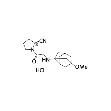 COC12CC3CC(C1)C(NCC(=O)N1CCC[C@H]1C#N)(C3)C2.Cl